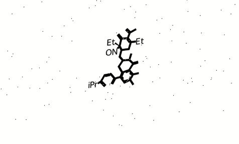 C=C(C)C1=C(CC)CC(CC2Cc3c(C(=C)/C=C\C(=C)C(C)C)cc(C)c(C)c3C(=C)C2C)[C@](CC)(N=O)C1=C